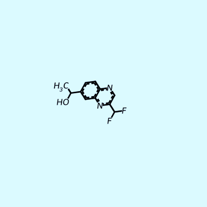 CC(O)c1ccc2ncc(C(F)F)nc2c1